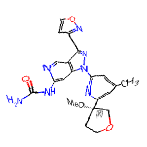 CO[C@@]1(c2cc(C)cc(-n3nc(-c4ccon4)c4cnc(NC(N)=O)cc43)n2)CCOC1